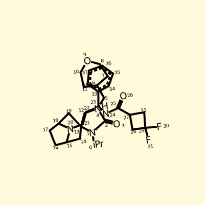 CC(C)N1C(=O)N(CC2CCOCC2)CC12CC1CCC(C2)N1CC[C@H](NC(=O)C1CC(F)(F)C1)c1ccccc1